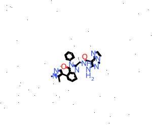 Cc1c(-c2cccc3nc([C@H](C)NC(=O)c4c(N)ncn5ccnc45)n(-c4ccccc4)c(=O)c23)cnn1C